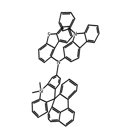 C[Si]1(C)c2ccccc2C2(c3ccccc3-c3cccc4cccc2c34)c2ccc(N(c3ccc4c5ccccc5n(-c5ccccc5)c4c3)c3cccc4sc5ccccc5c34)cc21